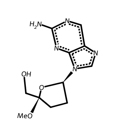 CO[C@]1(CO)CC[C@H](n2cnc3cnc(N)nc32)O1